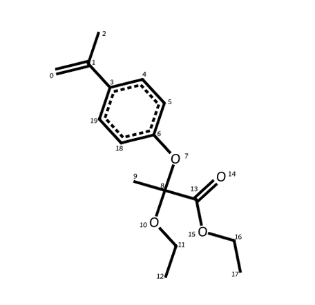 C=C(C)c1ccc(OC(C)(OCC)C(=O)OCC)cc1